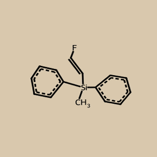 C[Si](C=CF)(c1ccccc1)c1ccccc1